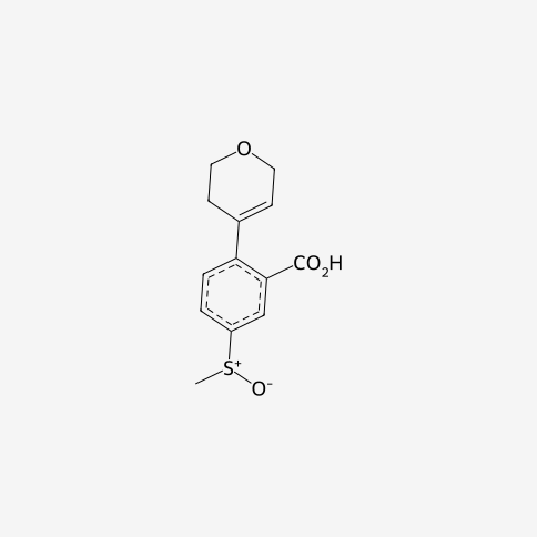 C[S+]([O-])c1ccc(C2=CCOCC2)c(C(=O)O)c1